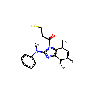 CCC1=CC(C)c2c(nc(N(C)c3ccccc3)n2C(=O)CCS)C1C